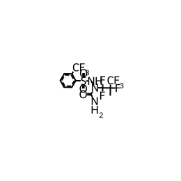 CC(F)(C(F)(F)F)C(F)(F)N(NS(=O)(=O)c1ccccc1C(F)(F)F)C(N)=O